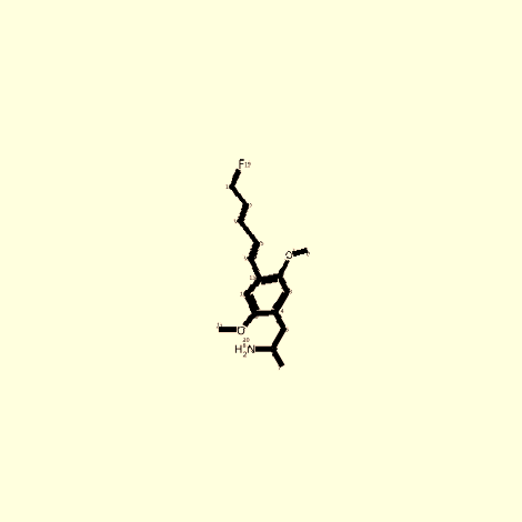 COc1cc(CC(C)N)c(OC)cc1CCCCCF